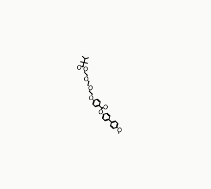 COc1ccc(-c2ccc(OC(=O)c3ccc(OCCOCCOCCOC(=O)C(C)(C)C(C)C)cc3)cc2)cc1